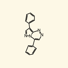 c1ccc(-c2cnn3c(-c4ccccc4)cnnc23)cc1